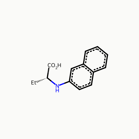 CC[C@@H](Nc1ccc2ccccc2c1)C(=O)O